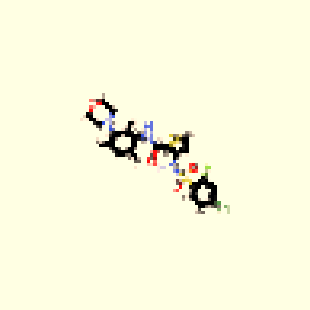 Cc1cc(C)c(N2CCOCC2)c(C)c1NC(=O)c1sccc1NS(=O)(=O)c1ccc(Cl)cc1F